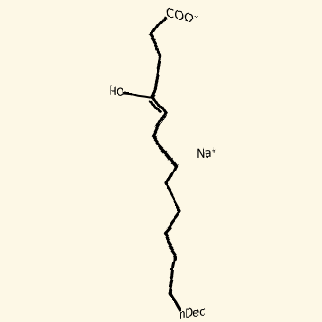 CCCCCCCCCCCCCCCCCC=C(O)CCC(=O)[O-].[Na+]